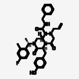 C=CCN1CC(=O)N2[C@@H](Cc3ccc(O)cc3)C(=O)N([C@@H](C)c3ccc(F)cc3C)C[C@@H]2N1C(=O)NCc1ccccc1